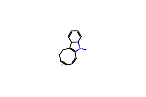 CN1C2=C(CC/C=C\C=C/2)C2C=CC=CC21